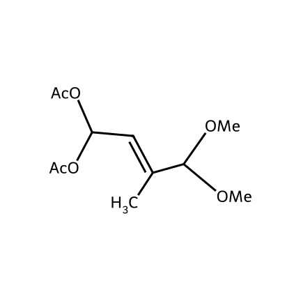 COC(OC)/C(C)=C/C(OC(C)=O)OC(C)=O